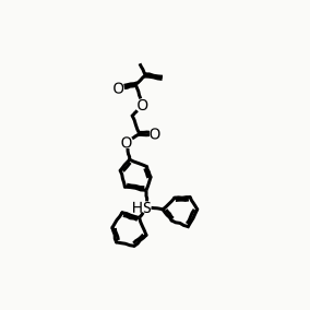 C=C(C)C(=O)OCC(=O)Oc1ccc([SH](c2ccccc2)c2ccccc2)cc1